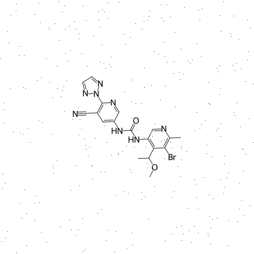 COC(C)c1c(NC(=O)Nc2cnc(-n3nccn3)c(C#N)c2)cnc(C)c1Br